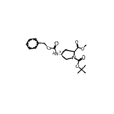 COC(=O)C1C[C@@H](NC(=O)OCc2ccccc2)CN1C(=O)OC(C)(C)C